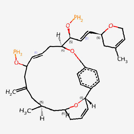 C=C1CC(OP)/C=C/C[C@@H]([C@H](/C=C/[C@@H]2CC(C)=CCO2)OP)Oc2ccc(cc2)[C@@H]2C=CC[C@@H](C[C@@H](C)C1)O2